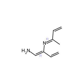 C=CC(=C/N)/N=C(\C)C=C